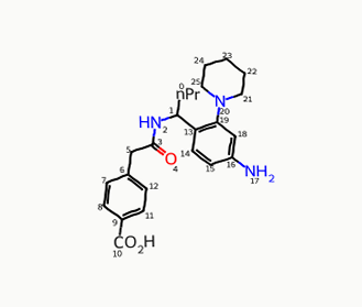 CCCC(NC(=O)Cc1ccc(C(=O)O)cc1)c1ccc(N)cc1N1CCCCC1